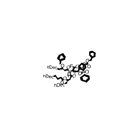 CCCCCCCCCCCCCC(=O)O[C@H](CCCCCCCCCCC)CC(=O)O[C@@H]1[C@@H](NC(=O)C[C@@H](CCCCCCCCCCC)OCc2ccccc2)[C@@H](F)O[C@H](COC(=O)OCc2ccccc2)[C@H]1OP(=O)(c1ccccc1)c1ccccc1